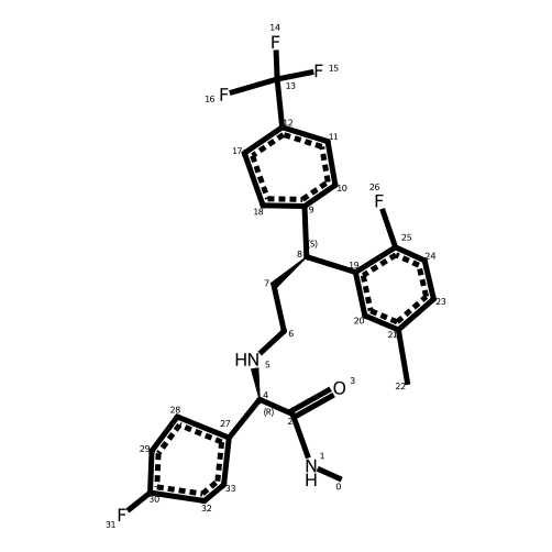 CNC(=O)[C@H](NCC[C@@H](c1ccc(C(F)(F)F)cc1)c1cc(C)ccc1F)c1ccc(F)cc1